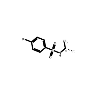 CC[C@H](NS(=O)(=O)c1ccc(Br)cc1)C(F)(F)F